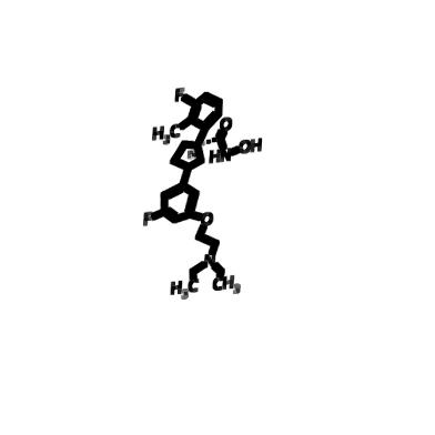 CCN(CC)CCOc1cc(F)cc(C2CC[C@@](C(=O)NO)(c3cccc(F)c3C)C2)c1